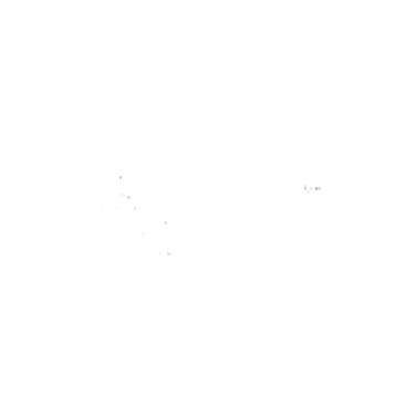 COCCOCC(=O)OCC(=O)[C@@]12OC(C)(C)O[C@@H]1CC1C3CCC4=CC(=O)C=CC4(C)[C@@]3(F)[C@@H](O)CC12C